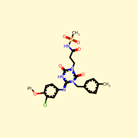 Cc1ccc(Cn2c(=O)n(CCC(=O)NS(C)(=O)=O)c(=O)[nH]/c2=N\c2ccc(OC(C)C)c(Cl)c2)cc1